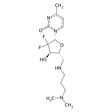 Cc1ccn([C@@H]2O[C@H](CNCCCN(C)C)[C@@H](O)C2(F)F)c(=O)n1